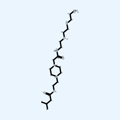 CC(C)CC(=O)OCCN1CCN(CC(=O)NCCOCCOCCN)CC1